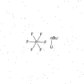 CCC[CH2][U].F[P-](F)(F)(F)(F)F